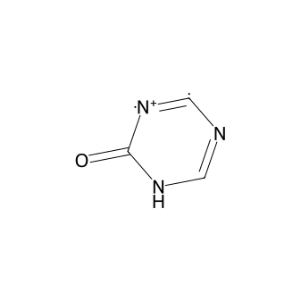 O=C1[N+]=[C]N=CN1